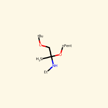 CCCCCOC([SiH3])(COC(C)(C)C)NCC